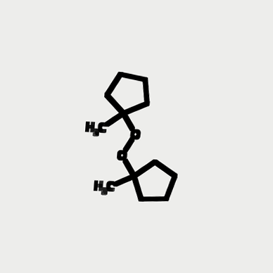 CC1(OOC2(C)CCCC2)CCCC1